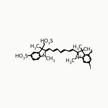 CN1\C(=C/C=C/C=C/C=C/C2=[N+](C)c3cc(I)cc(I)c3C2(C)C)C(C)(CS(=O)(=O)O)c2cc(S(=O)(=O)O)ccc21